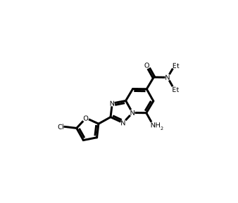 CCN(CC)C(=O)c1cc(N)n2nc(-c3ccc(Cl)o3)nc2c1